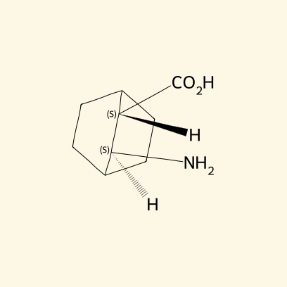 N[C@H]1C2CCC(CC2)[C@@H]1C(=O)O